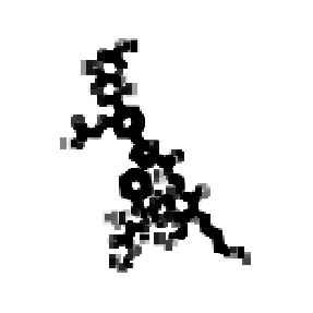 CCCCC[C@@H](C(=O)NCNC(=O)c1ccc(-c2ccc(C(=O)N[C@@H](CC(=O)O)C(=O)O)c(OCC(=O)O)c2)o1)[C@@H](CC)N(C=O)OP(=O)(NC(C)C(=O)OC)Oc1ccccc1